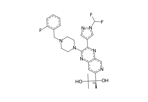 CC(C)(O)[C@@](C)(O)c1cc2nc(N3CCN(Cc4ccccc4F)CC3)c(-c3cnn(C(F)F)c3)nc2cn1